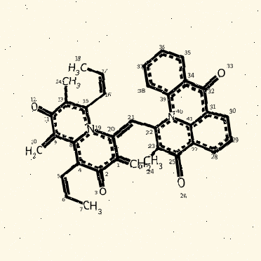 C=c1c(=O)c(/C=C\C)c2c(=C)c(=O)c(C)c(/C=C\C)n2/c1=C/c1c(C)c(=O)c2cccc3c(=O)c4ccccc4n1c23